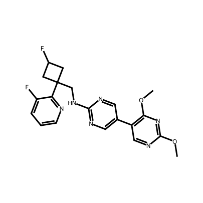 COc1ncc(-c2cnc(NCC3(c4ncccc4F)CC(F)C3)nc2)c(OC)n1